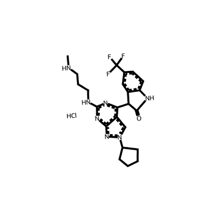 CNCCCNc1nc(C2C(=O)Nc3ccc(C(F)(F)F)cc32)c2cn(C3CCCC3)nc2n1.Cl